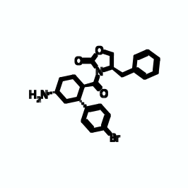 N[C@@H]1CC[C@@H](C(=O)N2C(=O)OC[C@H]2Cc2ccccc2)[C@H](c2ccc(Br)cc2)C1